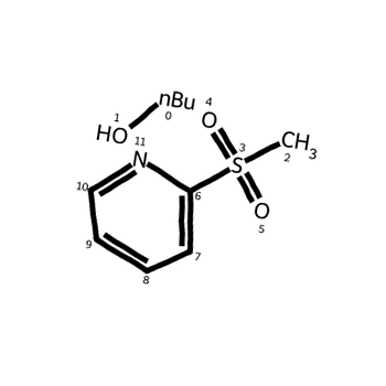 CCCCO.CS(=O)(=O)c1ccccn1